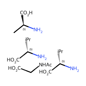 CC(=O)NCC(=O)O.CC(C)[C@H](N)C(=O)O.CC(C)[C@H](N)C(=O)O.C[C@H](N)C(=O)O